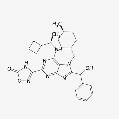 C[C@@H](Nc1nc(-c2noc(=O)[nH]2)nc2nc(C(O)c3ccccc3)n(C[C@H]3CC[C@H](C)CC3)c12)C1CCC1